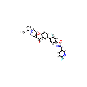 CC(C)N1CCC2(CC1)CC(=O)c1cc(-c3ccc(C(=O)NCc4ccc(F)nc4)cc3F)ccc1O2